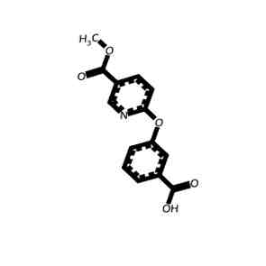 COC(=O)c1ccc(Oc2cccc(C(=O)O)c2)nc1